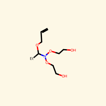 C=CCOC(CC)N(OCCO)OCCO